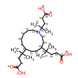 CC(C)(CCC(=O)O)C1CCCCCN(C(C)(C)CCC(=O)O)CCC(C(C)(C)CCC(=O)O)CC1